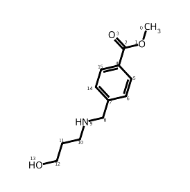 COC(=O)c1ccc(CNCCCO)cc1